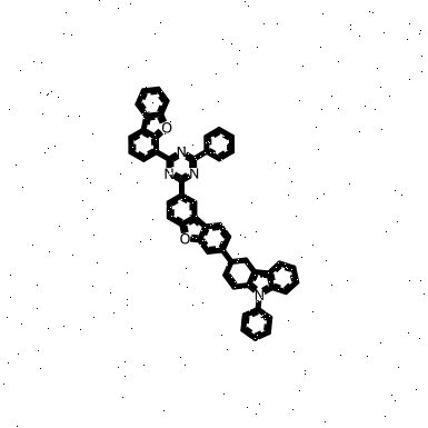 C1=CC(c2ccc3c(c2)oc2ccc(-c4nc(-c5ccccc5)nc(-c5cccc6c5oc5ccccc56)n4)cc23)Cc2c1n(-c1ccccc1)c1ccccc21